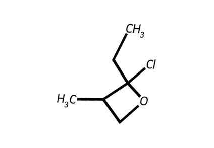 CCC1(Cl)OCC1C